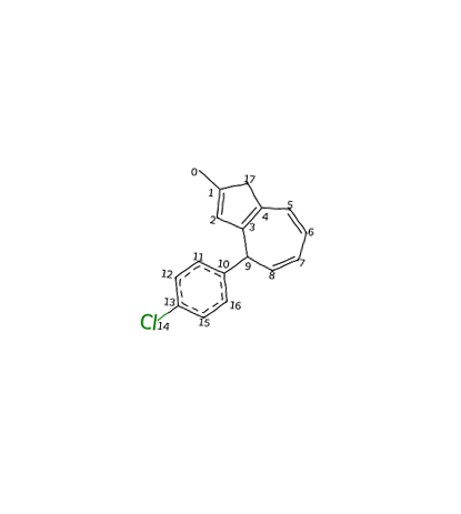 CC1=CC2=C(C=CC=CC2c2ccc(Cl)cc2)C1